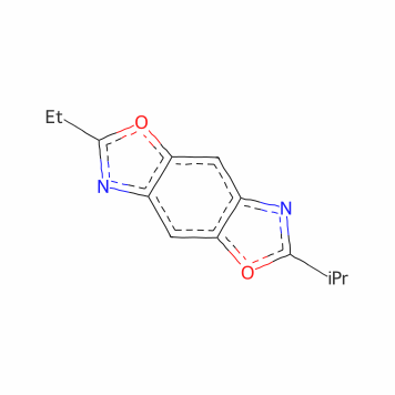 CCc1nc2cc3oc(C(C)C)nc3cc2o1